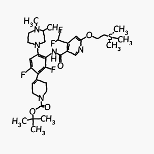 CC1CN(c2cc(F)c(C3=CCN(C(=O)OC(C)(C)C)CC3)c(F)c2NC(=O)c2cnc(OCCS(C)(C)C)cc2C(F)F)CCN1C